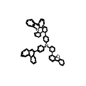 c1cc(-c2cccc3c2oc2ccccc23)cc(N(c2ccc(-c3ccccc3-c3ccccc3-n3c4ccccc4c4ccccc43)cc2)c2ccc(-c3cc4ccccc4c4ccccc34)cc2)c1